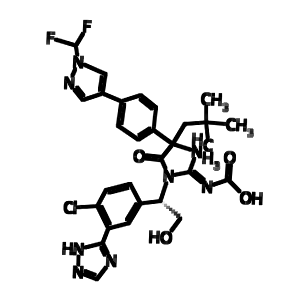 CC(C)(C)CC1(c2ccc(-c3cnn(C(F)F)c3)cc2)NC(=NC(=O)O)N([C@H](CO)c2ccc(Cl)c(-c3ncn[nH]3)c2)C1=O